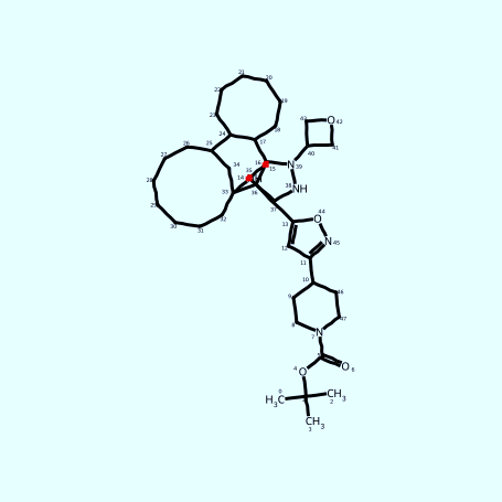 CC(C)(C)OC(=O)N1CCC(c2cc(C3CC45C6CCCCCCC6C6CCCCCCCC(C6)(N3)C4CNN5C3COC3)on2)CC1